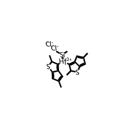 CC1=CC2=[C]([Hf+2]([C]3=C4C=C(C)C=C4SC3C)=[Si](C)C)C(C)SC2=C1.[Cl-].[Cl-]